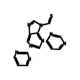 S=Cn1cnc2cncnc21.c1cncnc1.c1cncnc1